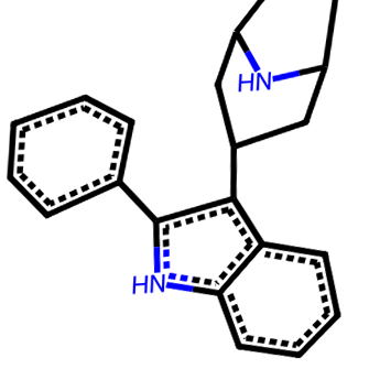 c1ccc(-c2[nH]c3ccccc3c2C2CC3CCC(C2)N3)cc1